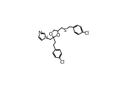 Clc1ccc(CCC2(Cn3ccnc3)OCC(CSCc3ccc(Cl)cc3)O2)cc1